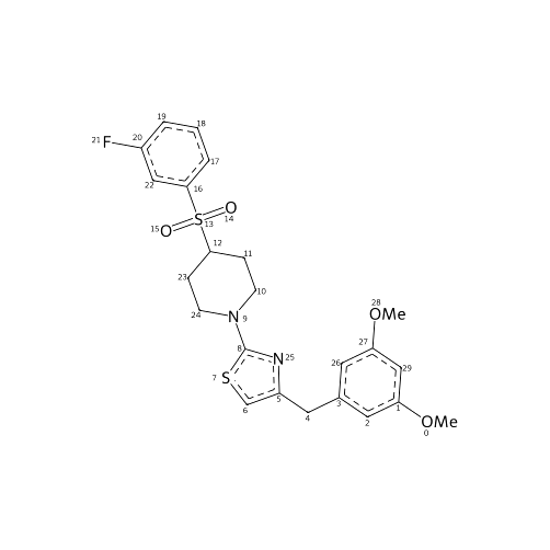 COc1cc(Cc2csc(N3CCC(S(=O)(=O)c4cccc(F)c4)CC3)n2)cc(OC)c1